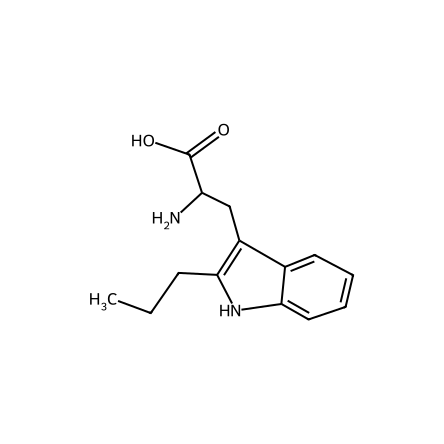 CCCc1[nH]c2ccccc2c1CC(N)C(=O)O